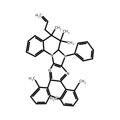 C=CCC1(C)c2ccccc2N2c3nc(-c4c(C)cccc4C)c(-c4c(C)cccc4C)nc3N(c3ccccc3)C2C1(C)C